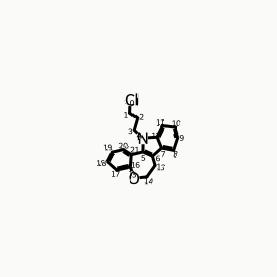 ClCCCn1c2c(c3ccccc31)CCOc1ccccc1-2